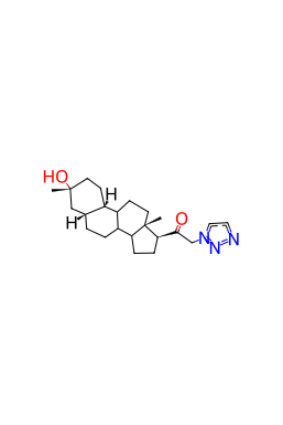 C[C@@]1(O)CC[C@@H]2C3CC[C@@]4(C)C(CC[C@@H]4C(=O)Cn4ccnn4)C3CC[C@@H]2C1